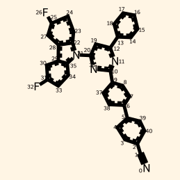 N#Cc1ccc(-c2ccc(-c3nc(-c4ccccc4)cc(-n4c5ccc(F)cc5c5cc(F)ccc54)n3)cc2)cc1